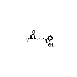 Cc1cc(Cl)cc(CNCCc2cn(C)c3ccccc23)c1